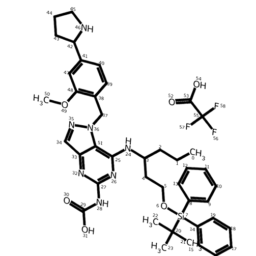 CCCC(CCO[Si](c1ccccc1)(c1ccccc1)C(C)(C)C)Nc1nc(NC(=O)O)nc2cnn(Cc3ccc(C4CCCN4)cc3OC)c12.O=C(O)C(F)(F)F